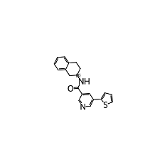 O=C(N[C@@H]1CCc2ccccc2C1)c1cncc(-c2cccs2)c1